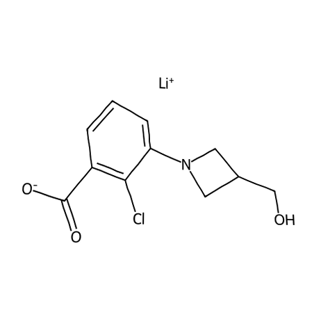 O=C([O-])c1cccc(N2CC(CO)C2)c1Cl.[Li+]